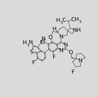 CC(C)C1NCC12CC[C@H]1COc3c(Cl)c(-c4ccc(F)c5sc(N)c(C#N)c45)c(F)c4nc(OC[C@@]56CCCN5C[C@H](F)C6)nc(c34)N1C2